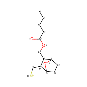 CCCCC(=O)OCC1C2CCC(O2)C1CS